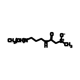 CN(O)CCCNC(=O)C[S+](C)[O-]